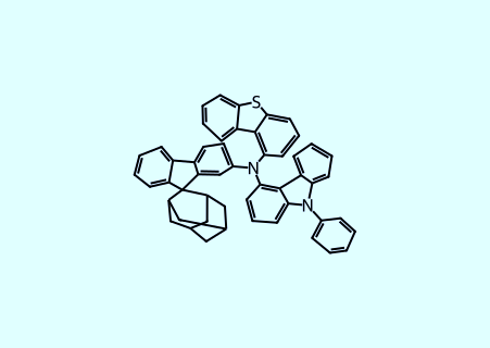 c1ccc(-n2c3ccccc3c3c(N(c4ccc5c(c4)C4(c6ccccc6-5)C5CC6CC(C5)CC4C6)c4cccc5sc6ccccc6c45)cccc32)cc1